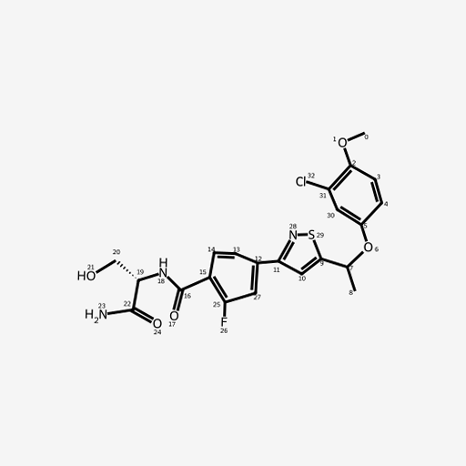 COc1ccc(OC(C)c2cc(-c3ccc(C(=O)N[C@@H](CO)C(N)=O)c(F)c3)ns2)cc1Cl